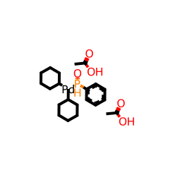 CC(=O)O.CC(=O)O.O=[PH](c1ccccc1)[Pd]([CH]1CCCCC1)[CH]1CCCCC1